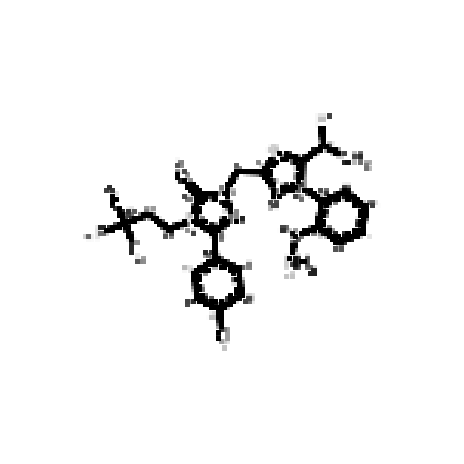 CC(F)c1nc(Cn2nc(-c3ccc(Cl)cc3)n(CCC(F)(F)F)c2=O)nn1-c1ccccc1SN